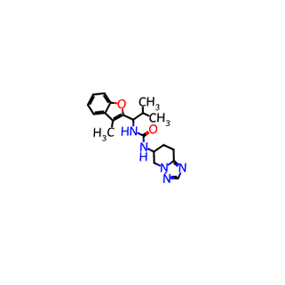 Cc1c(C(NC(=O)NC2CCc3ncnn3C2)C(C)C)oc2ccccc12